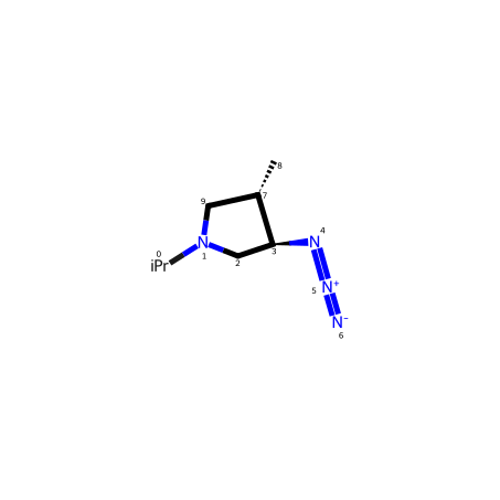 CC(C)N1C[C@H](N=[N+]=[N-])[C@@H](C)C1